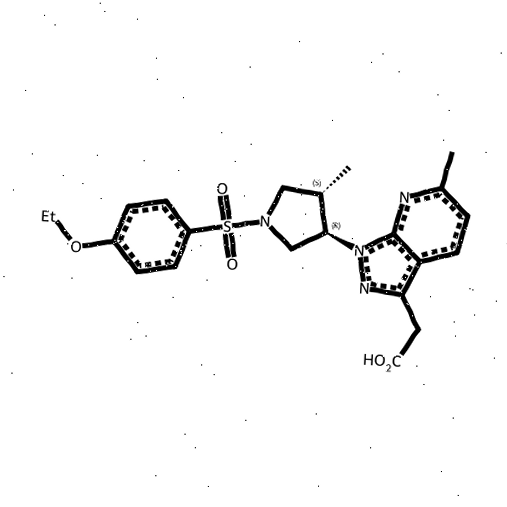 CCOc1ccc(S(=O)(=O)N2C[C@H](C)[C@@H](n3nc(CC(=O)O)c4ccc(C)nc43)C2)cc1